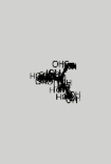 O=C[C@H](Cc1ccccc1)NC(=O)CCCCCNC(=O)CN(CC(=O)N[C@@H](CCC(=O)NCCO[C@H]1O[C@H](CO)[C@@H](O)[C@H](O)[C@@H]1O)C(=O)NCCO)CC(=O)N[C@@H](CCC(=O)NCCO[C@H]1O[C@H](CO)[C@@H](O)[C@H](O)[C@@H]1O)C(=O)NCCO